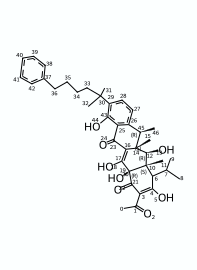 CC(=O)C1=C(O)C(C(C)C)[C@@]2(C)[C@H](O)[C@]3(C)C(=C(O)[C@@]2(O)C1=O)C(=O)c1c(ccc(C(C)(C)CCCCc2ccccc2)c1O)[C@H]3C